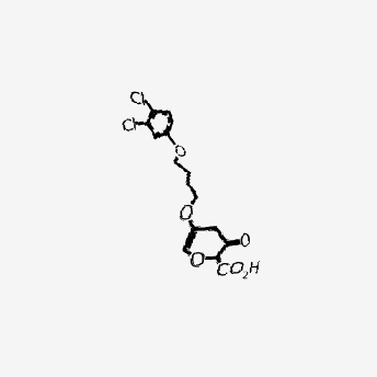 O=C(O)C1OC=C(OCCCCOc2ccc(Cl)c(Cl)c2)CC1=O